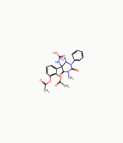 CC(=O)Oc1cccc(C2(NC(=O)O)C(=O)N(C)C(=O)N(c3ccccc3)C2N)c1OC(C)=O